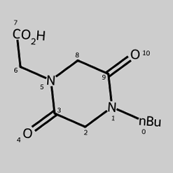 CCCCN1CC(=O)N(CC(=O)O)CC1=O